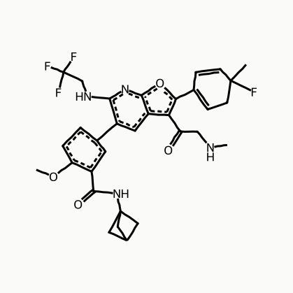 CNCC(=O)c1c(C2=CCC(C)(F)C=C2)oc2nc(NCC(F)(F)F)c(-c3ccc(OC)c(C(=O)NC45CC(C4)C5)c3)cc12